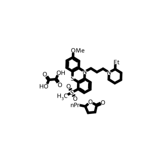 CCC1CCCCN1CCCN1c2cc(OC)ccc2Sc2c1cccc2S(C)(=O)=O.CCCC1CCC(=O)O1.O=C(O)C(=O)O